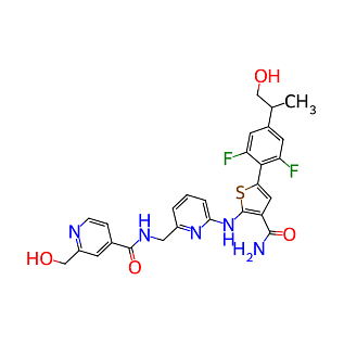 CC(CO)c1cc(F)c(-c2cc(C(N)=O)c(Nc3cccc(CNC(=O)c4ccnc(CO)c4)n3)s2)c(F)c1